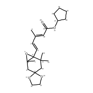 CC(C=CC12OC1(C)CC1(CC2(C)C)OCCO1)=CC(=O)OC1CCCC1